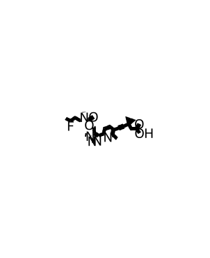 Cc1nc(-c2nnn(C)c2COC(=O)N(C)CCC(C)F)ccc1C#CC1(CC(=O)O)CC1